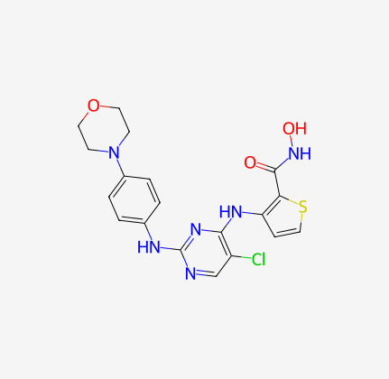 O=C(NO)c1sccc1Nc1nc(Nc2ccc(N3CCOCC3)cc2)ncc1Cl